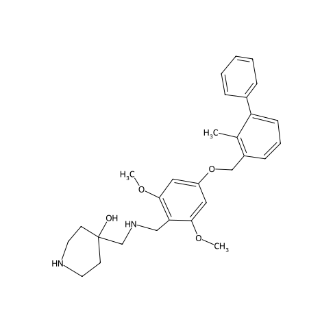 COc1cc(OCc2cccc(-c3ccccc3)c2C)cc(OC)c1CNCC1(O)CCNCC1